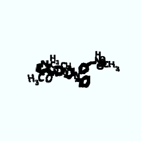 Cc1ccnc(C)c1C(=O)N1CCC(C)(N2CCC(N(Cc3ccccc3)c3ccc(CCNS(C)(=O)=O)cc3)CC2)CC1